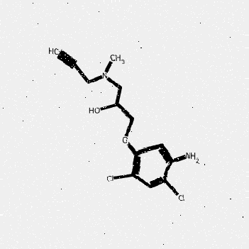 C#CCN(C)CC(O)COc1cc(N)c(Cl)cc1Cl